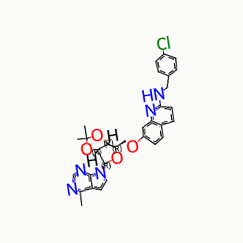 Cc1ncnc2c1ccn2[C@@H]1O[C@H](COc2ccc3ccc(NCc4ccc(Cl)cc4)nc3c2)[C@H]2OC(C)(C)O[C@H]21